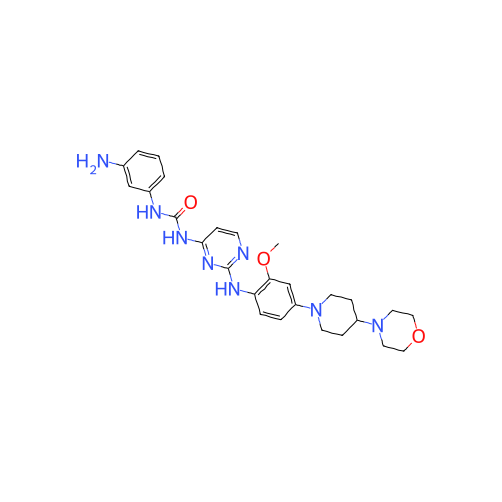 COc1cc(N2CCC(N3CCOCC3)CC2)ccc1Nc1nccc(NC(=O)Nc2cccc(N)c2)n1